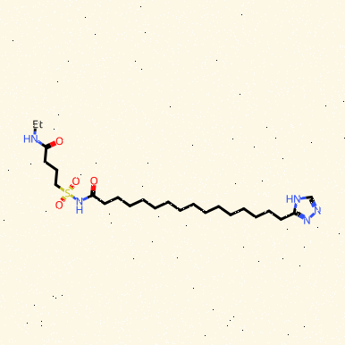 CCNC(=O)CCCS(=O)(=O)NC(=O)CCCCCCCCCCCCCCCc1nnc[nH]1